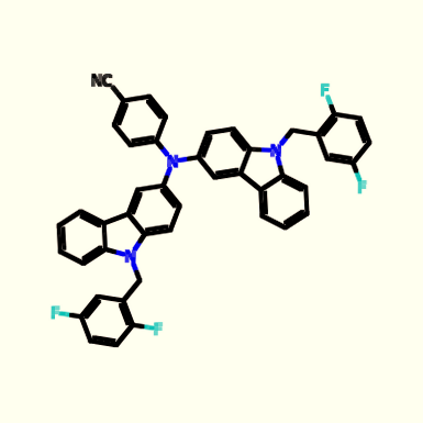 N#Cc1ccc(N(c2ccc3c(c2)c2ccccc2n3Cc2cc(F)ccc2F)c2ccc3c(c2)c2ccccc2n3Cc2cc(F)ccc2F)cc1